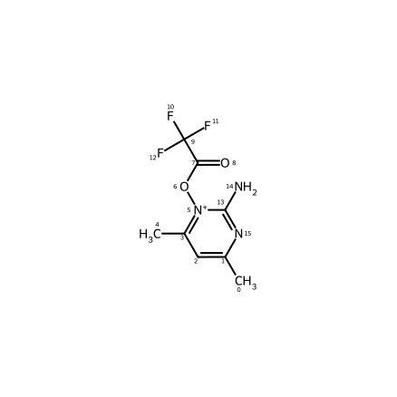 Cc1cc(C)[n+](OC(=O)C(F)(F)F)c(N)n1